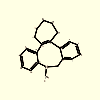 CC(C)N1Cc2ccccc2C2=C(CCCCC2)c2ccccc21